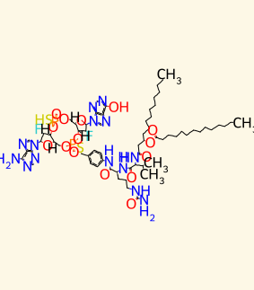 CCCCCCCCCCCCCC(=O)OC(CCCCCCCCCCC)CC(=O)N[C@H](C(=O)N[C@@H](CCCNC(N)=O)C(=O)Nc1ccc(CSP2(=O)OC[C@H]3O[C@@H](n4cnc5c(N)ncnc54)[C@H](F)[C@@H]3OP(=O)(S)OC[C@H]3O[C@@H](n4cnc5c(O)ncnc54)[C@H](F)[C@@H]3O2)cc1)C(C)C